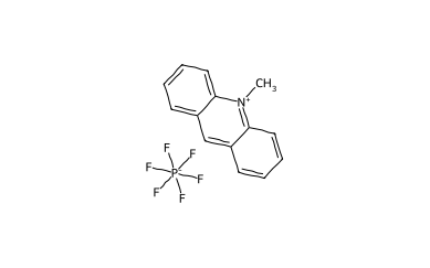 C[n+]1c2ccccc2cc2ccccc21.F[P-](F)(F)(F)(F)F